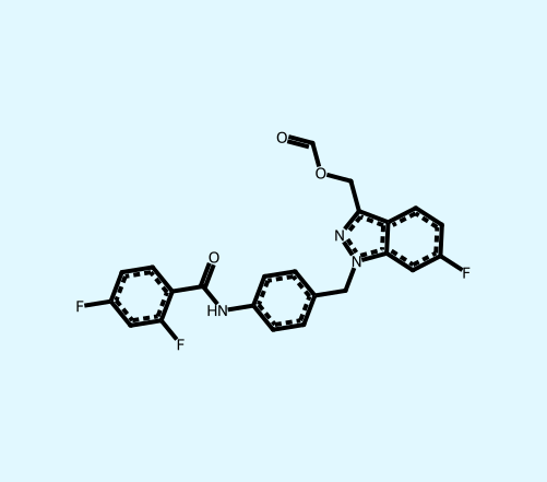 O=COCc1nn(Cc2ccc(NC(=O)c3ccc(F)cc3F)cc2)c2cc(F)ccc12